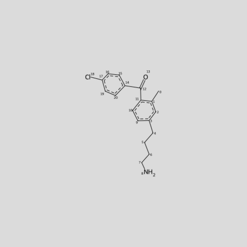 Cc1cc(CCCCN)ccc1C(=O)c1ccc(Cl)cc1